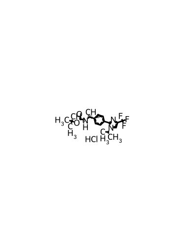 CC(C)n1cc(C(F)(F)F)nc1-c1ccc([C@@H](C)NC(=O)OC(C)(C)C)cc1.Cl